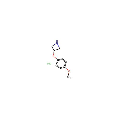 COc1ccc(OC2CNC2)cc1.Cl